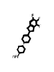 CCC[C@H]1CC[C@H](C2CCC(C3Cc4cc(F)c(F)c(F)c4C3)CC2)CC1